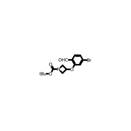 CC(C)(C)OC(=O)N1CC(Oc2cc(Br)ccc2C=O)C1